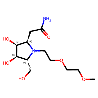 COCCOCCN1[C@H](CC(N)=O)[C@H](O)[C@H](O)[C@H]1CO